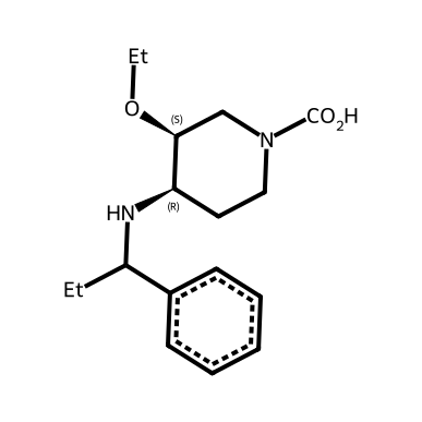 CCO[C@H]1CN(C(=O)O)CC[C@H]1NC(CC)c1ccccc1